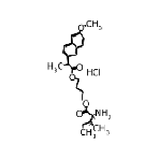 CC[C@H](C)[C@H](N)C(=O)OCCCCOC(=O)C(C)c1ccc2cc(OC)ccc2c1.Cl